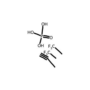 C#CC.CC(F)(F)F.CC(F)(F)F.O=P(O)(O)O